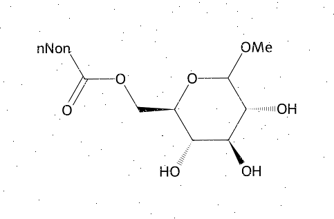 CCCCCCCCCC(=O)OC[C@H]1OC(OC)[C@H](O)[C@@H](O)[C@@H]1O